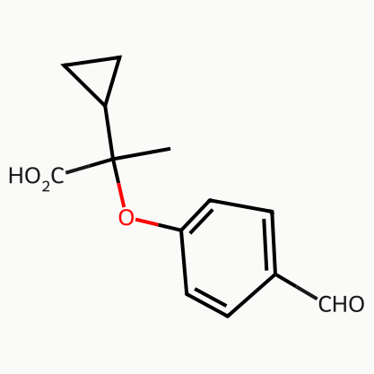 CC(Oc1ccc(C=O)cc1)(C(=O)O)C1CC1